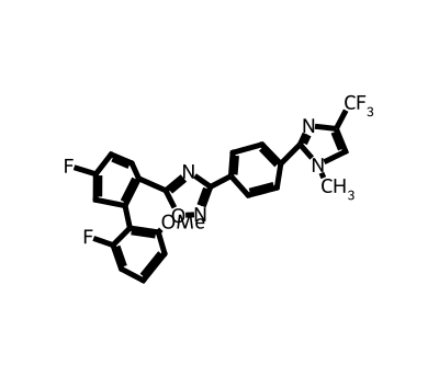 COc1cccc(F)c1-c1cc(F)ccc1-c1nc(-c2ccc(-c3nc(C(F)(F)F)cn3C)cc2)no1